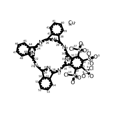 O=S(=O)(Cl)c1c(S(=O)(=O)Cl)c(S(=O)(=O)Cl)c2c3nc4nc(nc5[nH]c(nc6nc(nc([nH]3)c2c1S(=O)(=O)Cl)-c1ccccc1-6)c1ccccc51)-c1ccccc1-4.[Cu]